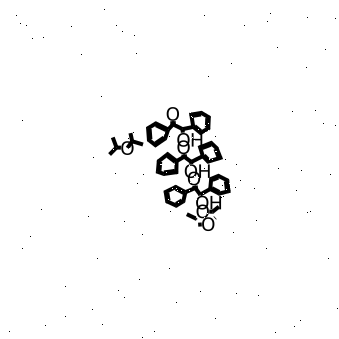 CC(C)OC(C)C.CCOCC.COC.O=C(c1ccccc1)C(O)c1ccccc1.O=C(c1ccccc1)C(O)c1ccccc1.O=C(c1ccccc1)C(O)c1ccccc1